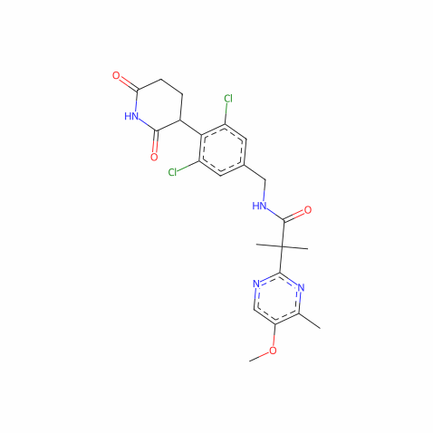 COc1cnc(C(C)(C)C(=O)NCc2cc(Cl)c(C3CCC(=O)NC3=O)c(Cl)c2)nc1C